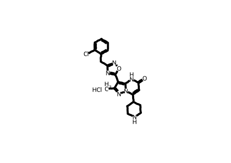 Cc1nn2c(C3CCNCC3)cc(=O)[nH]c2c1-c1nc(Cc2ccccc2Cl)no1.Cl